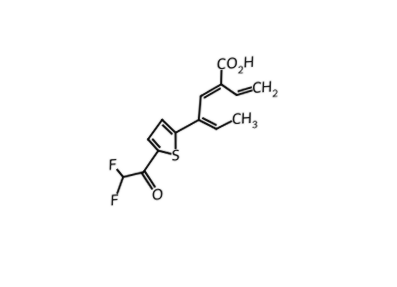 C=C/C(=C\C(=C/C)c1ccc(C(=O)C(F)F)s1)C(=O)O